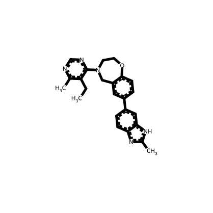 CCc1c(C)ncnc1N1CCOc2ccc(-c3ccc4nc(C)[nH]c4c3)cc2C1